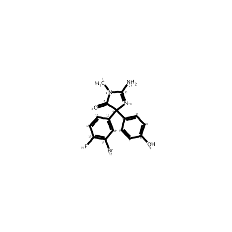 CN1C(=O)C(c2ccc(O)cc2)(c2ccc(F)c(Br)c2)N=C1N